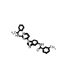 Cc1cccc(C(=O)Nc2ccc3c(c2)ncn3-c2ccnc(NC(C)c3ccccc3)n2)c1